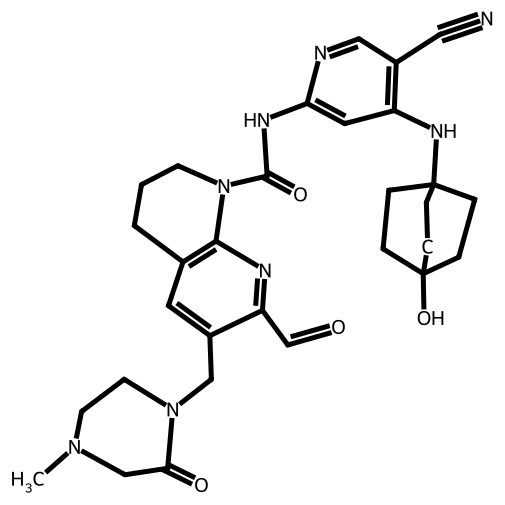 CN1CCN(Cc2cc3c(nc2C=O)N(C(=O)Nc2cc(NC45CCC(O)(CC4)CC5)c(C#N)cn2)CCC3)C(=O)C1